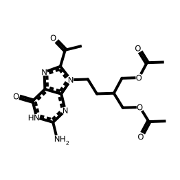 CC(=O)OCC(CCn1c(C(C)=O)nc2c(=O)[nH]c(N)nc21)COC(C)=O